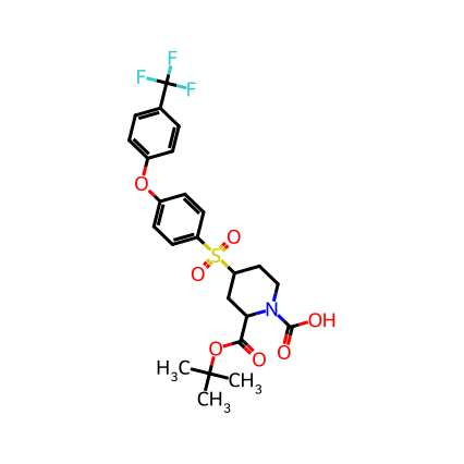 CC(C)(C)OC(=O)C1CC(S(=O)(=O)c2ccc(Oc3ccc(C(F)(F)F)cc3)cc2)CCN1C(=O)O